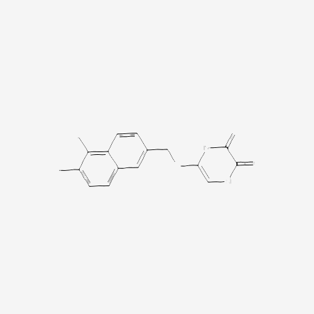 O=c1[nH]cc(SCc2ccc3c(Cl)c(Cl)ccc3c2)[nH]c1=O